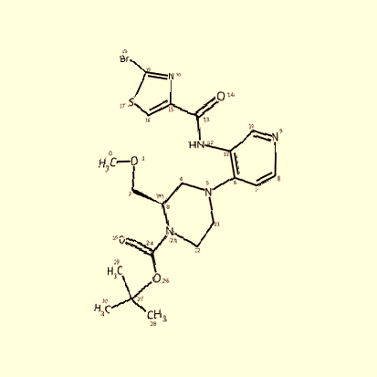 COC[C@H]1CN(c2ccncc2NC(=O)c2csc(Br)n2)CCN1C(=O)OC(C)(C)C